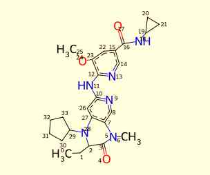 CCC1C(=O)N(C)c2cnc(Nc3ncc(C(=O)NC4CC4)cc3OC)cc2N1C1CCCC1